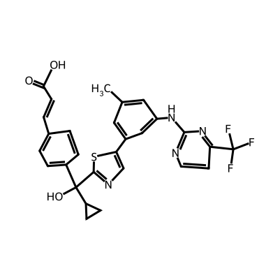 Cc1cc(Nc2nccc(C(F)(F)F)n2)cc(-c2cnc(C(O)(c3ccc(C=CC(=O)O)cc3)C3CC3)s2)c1